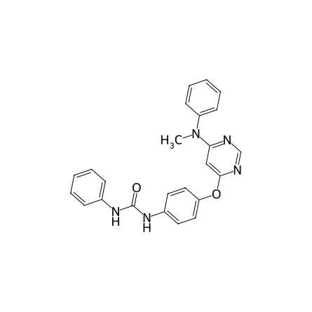 CN(c1ccccc1)c1cc(Oc2ccc(NC(=O)Nc3ccccc3)cc2)ncn1